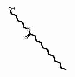 CCCCCCCCCCCC(=O)NCCCCCO